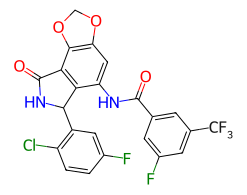 O=C(Nc1cc2c(c3c1C(c1cc(F)ccc1Cl)NC3=O)OCO2)c1cc(F)cc(C(F)(F)F)c1